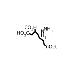 CCCCCCCCCCCCC(CC(=O)O)C(=O)O.N.N